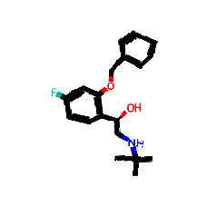 CC(C)(C)NC[C@H](O)c1ccc(F)cc1OCc1ccccc1